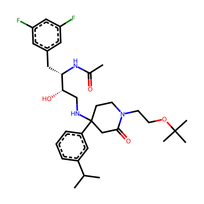 CC(=O)N[C@@H](Cc1cc(F)cc(F)c1)[C@@H](O)CNC1(c2cccc(C(C)C)c2)CCN(CCOC(C)(C)C)C(=O)C1